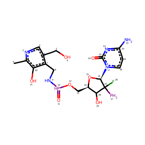 Cc1ncc(CO)c(CN[PH](=O)OC[C@H]2O[C@@H](n3ccc(N)nc3=O)C(F)(P)C2O)c1O